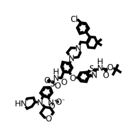 CC1(C)CCC(CN2CCN(c3ccc(C(=O)NS(=O)(=O)c4ccc(N(C5CCNCC5)C5CCOCC5)c([N+](=O)[O-])c4)c(Oc4ccc5nc(NC(=O)OC(C)(C)C)sc5c4)c3)CC2)=C(c2ccc(Cl)cc2)C1